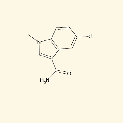 Cn1cc(C(N)=O)c2cc(Cl)ccc21